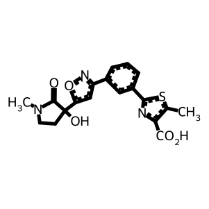 Cc1sc(-c2cccc(-c3cc(C4(O)CCN(C)C4=O)on3)c2)nc1C(=O)O